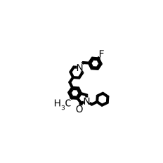 Cc1cc(CC2CCN(Cc3cccc(F)c3)CC2)cc2c1C(=O)N(CC1CCCCC1)C2